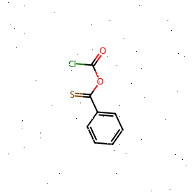 O=C(Cl)OC(=S)c1ccccc1